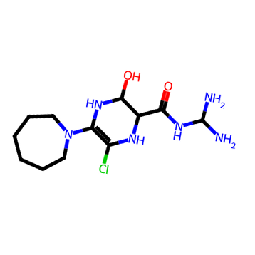 NC(N)NC(=O)C1NC(Cl)=C(N2CCCCCC2)NC1O